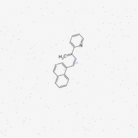 C=C(/C=C\c1cccc2ccccc12)c1ccccn1